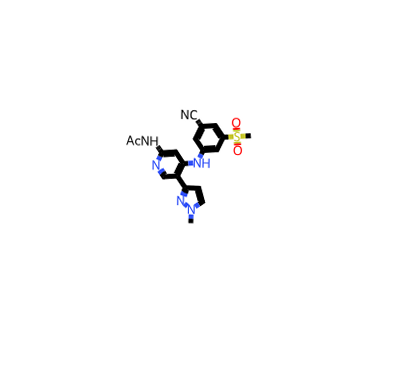 CC(=O)Nc1cc(Nc2cc(C#N)cc(S(C)(=O)=O)c2)c(-c2ccn(C)n2)cn1